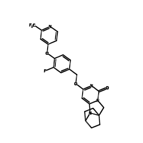 O=c1nc(OCc2ccc(Oc3ccnc(C(F)(F)F)c3)c(F)c2)cc2n1CC13CCC(CC1)N23